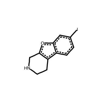 Ic1ccc2c3c(oc2c1)CNCC3